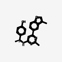 Cc1nc(N[C@@H](C)c2ccc(O)cc2)cc(-c2ccc3occ(C)c3c2)n1